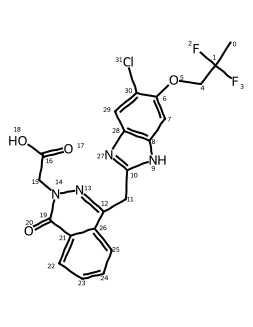 CC(F)(F)COc1cc2[nH]c(Cc3nn(CC(=O)O)c(=O)c4ccccc34)nc2cc1Cl